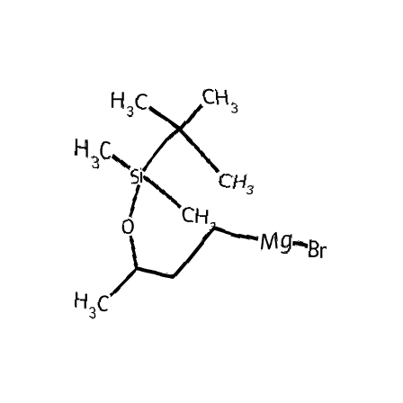 CC(C[CH2][Mg][Br])O[Si](C)(C)C(C)(C)C